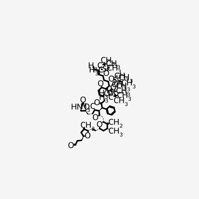 C=C1C[C@H](CCC=O)O[C@H]1CC[C@H]1C[C@@H](C)C(=C)[C@@H](C[C@@H]2O[C@H](C[C@H]3CNC(=O)O3)[C@H](C)[C@H]2C(C(=O)C[C@H]2CCC3O[C@@H]([C@H](/C=C/I)O[Si](C)(C)C(C)(C)C)[C@@H](O[Si](C)(C)C(C)(C)C)[C@@H](O[Si](C)(C)C(C)(C)C)[C@H]3O2)c2ccccc2)O1